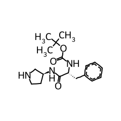 CC(C)(C)OC(=O)N[C@H](Cc1ccccc1)C(=O)N[C@H]1CCNC1